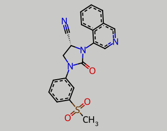 CS(=O)(=O)c1cccc(N2C[C@H](C#N)N(c3cncc4ccccc34)C2=O)c1